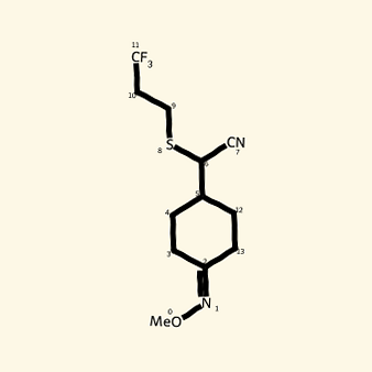 CON=C1CCC(C(C#N)SCCC(F)(F)F)CC1